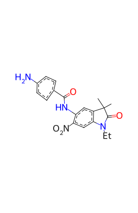 CCN1C(=O)C(C)(C)c2cc(NC(=O)c3ccc(N)cc3)c([N+](=O)[O-])cc21